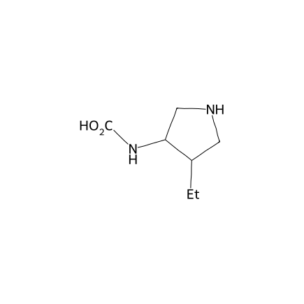 CCC1CNCC1NC(=O)O